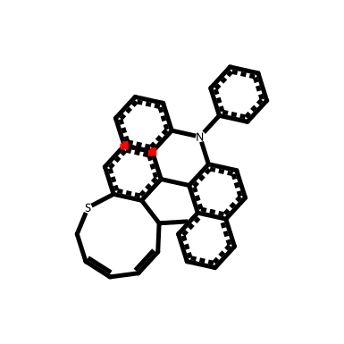 CC1/C=C\C=C/CSc2cccc(-c3c(N(c4ccccc4)c4ccccc4)ccc4ccccc34)c21